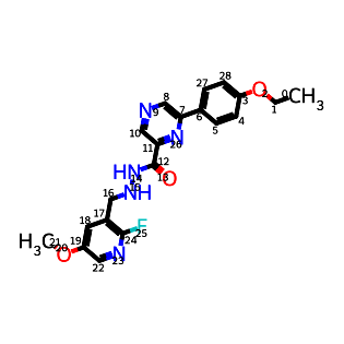 CCOc1ccc(-c2cncc(C(=O)NNCc3cc(OC)cnc3F)n2)cc1